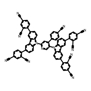 N#Cc1ccc(-c2cc(-n3c4ccc(-c5ccc(C#N)cc5C#N)cc4c4cc(-c5ccc(C#N)cc5C#N)ccc43)ncc2-n2c3ccc(-c4ccc(C#N)cc4C#N)cc3c3cc(-c4ccc(C#N)cc4C#N)ccc32)cc1